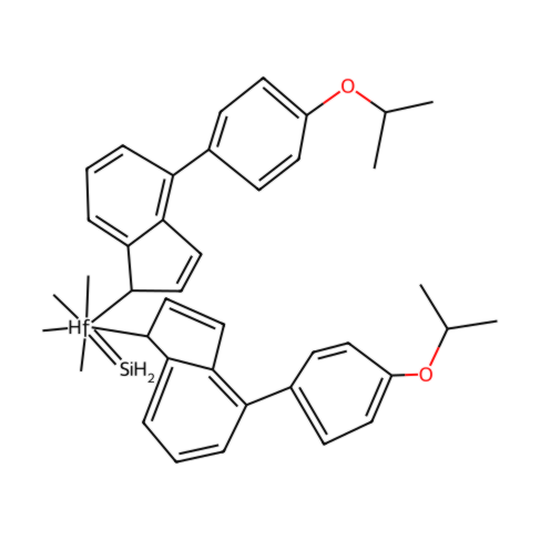 CC(C)Oc1ccc(-c2cccc3c2C=C[CH]3[Hf]([CH3])([CH3])([CH3])([CH3])(=[SiH2])[CH]2C=Cc3c(-c4ccc(OC(C)C)cc4)cccc32)cc1